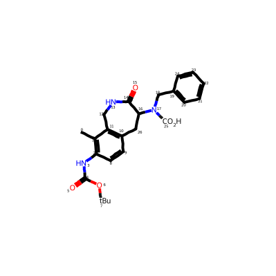 Cc1c(NC(=O)OC(C)(C)C)ccc2c1CNC(=O)C(N(Cc1ccccc1)C(=O)O)C2